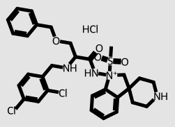 CS(=O)(=O)[N+]1(NC(=O)C(COCc2ccccc2)NCc2ccc(Cl)cc2Cl)CC2(CCNCC2)c2ccccc21.Cl